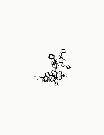 CCC(=O)O[C@H]1[C@@H](OC(=O)CC)[C@](C#N)(c2ccc3c(N)ncnn23)O[C@@H]1COP(=O)(N[C@@H](CC(=O)OC1CCC1)C(=O)OC1CCC1)Oc1ccccc1